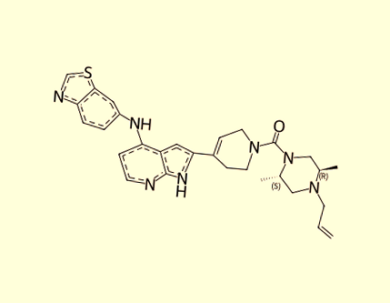 C=CCN1C[C@H](C)N(C(=O)N2CC=C(c3cc4c(Nc5ccc6ncsc6c5)ccnc4[nH]3)CC2)C[C@H]1C